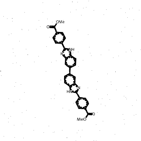 COC(=O)c1ccc(-c2nc3cc(-c4ccc5[nH]c(-c6ccc(C(=O)OC)cc6)nc5c4)ccc3[nH]2)cc1